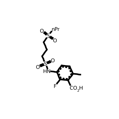 CCCS(=O)(=O)CCCS(=O)(=O)Nc1ccc(C)c(C(=O)O)c1F